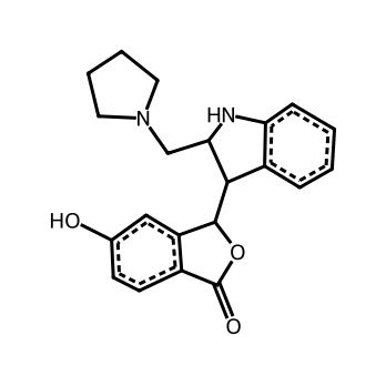 O=C1OC(C2c3ccccc3NC2CN2CCCC2)c2cc(O)ccc21